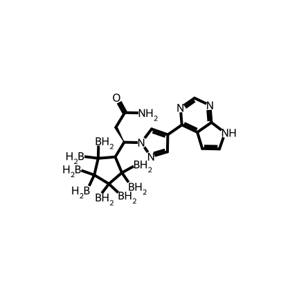 BC1(B)C([C@@H](CC(N)=O)n2cc(-c3ncnc4[nH]ccc34)cn2)C(B)(B)C(B)(B)C1(B)B